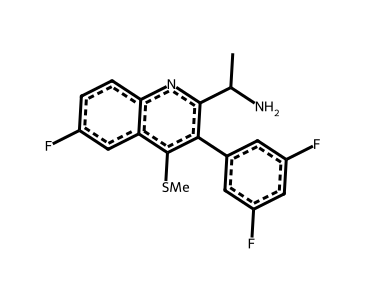 CSc1c(-c2cc(F)cc(F)c2)c(C(C)N)nc2ccc(F)cc12